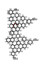 CC(C)(C)c1ccnc(-c2ccc(-c3ccccc3-c3cc(-c4ccccc4-c4ccc(-c5cc(C(C)(C)C)ccn5)cc4)cc(-c4ccccc4-c4ccc(-c5cc(-c6ccc(-c7ccccc7-c7cc(-c8ccccc8-c8ccc(-c9cc(C(C)(C)C)ccn9)cc8)cc(-c8ccccc8-c8ccc(-c9cc(C(C)(C)C)ccn9)cc8)c7)c7ccccc67)ncn5)c5ccccc45)c3)cc2)c1